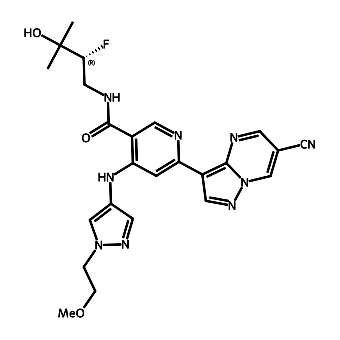 COCCn1cc(Nc2cc(-c3cnn4cc(C#N)cnc34)ncc2C(=O)NC[C@@H](F)C(C)(C)O)cn1